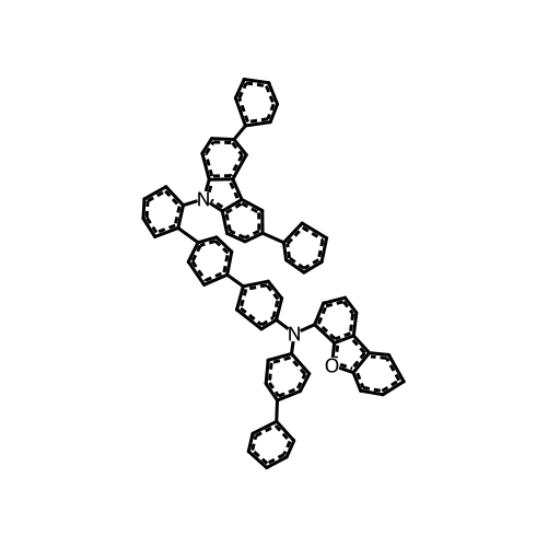 c1ccc(-c2ccc(N(c3ccc(-c4ccc(-c5ccccc5-n5c6ccc(-c7ccccc7)cc6c6cc(-c7ccccc7)ccc65)cc4)cc3)c3cccc4c3oc3ccccc34)cc2)cc1